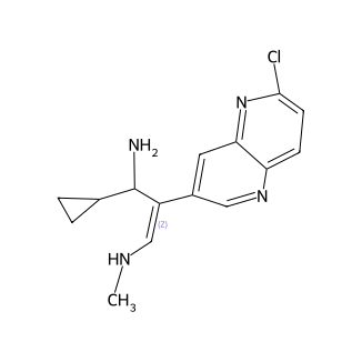 CN/C=C(/c1cnc2ccc(Cl)nc2c1)C(N)C1CC1